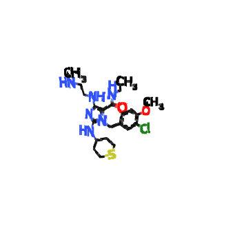 CCNC(=O)c1c(NCCNC)nc(NC2CCSCC2)n1Cc1ccc(OC)c(Cl)c1